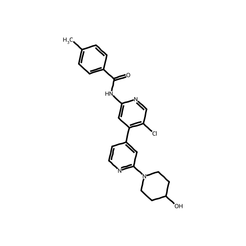 Cc1ccc(C(=O)Nc2cc(-c3ccnc(N4CCC(O)CC4)c3)c(Cl)cn2)cc1